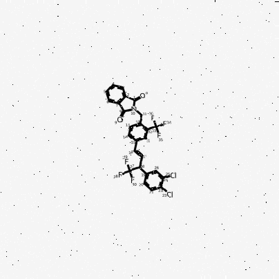 O=C1c2ccccc2C(=O)N1Cc1ccc(/C=C/C(c2ccc(Cl)c(Cl)c2)C(F)(F)F)cc1C(F)(F)F